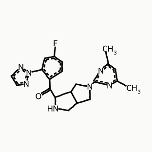 Cc1cc(C)nc(N2CC3CNC(C(=O)c4ccc(F)cc4-n4nccn4)C3C2)n1